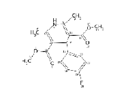 COC(=O)C1=C(C)NC(C)=C(C(=O)OC)C1c1ccc(F)cc1